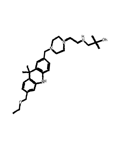 CCOCc1ccc2c(c1)Nc1ccc(CN3CCN(CCNCC(C)(C)O)CC3)cc1C2(C)C